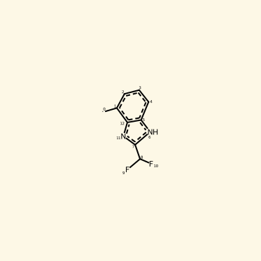 [CH2]c1cccc2[nH]c(C(F)F)nc12